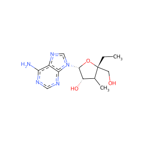 CC[C@]1(CO)O[C@@H](n2cnc3c(N)ncnc32)[C@@H](O)C1C